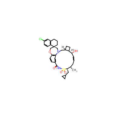 C[C@@H]1C/C=C\[C@H](O)[C@@H]2CC[C@H]2CN2C[C@@]3(CCCc4cc(Cl)ccc43)COc3ccc(cc32)C(=O)NS(=O)(=O)[C@@H]1CC1CC1